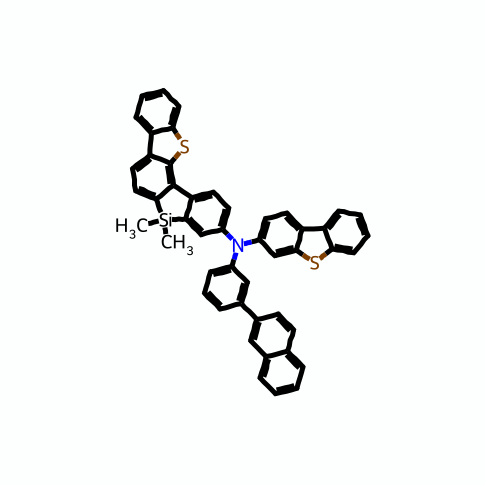 C[Si]1(C)c2cc(N(c3cccc(-c4ccc5ccccc5c4)c3)c3ccc4c(c3)sc3ccccc34)ccc2-c2c1ccc1c2sc2ccccc21